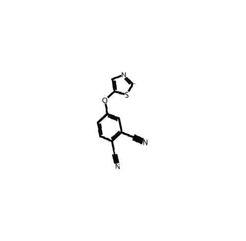 N#Cc1ccc(Oc2cn[c]s2)cc1C#N